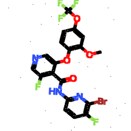 COc1cc(OC(F)(F)F)ccc1Oc1cncc(F)c1C(=O)Nc1ccc(F)c(Br)n1